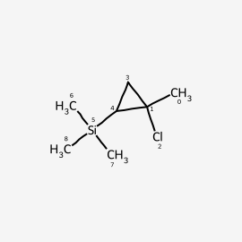 CC1(Cl)CC1[Si](C)(C)C